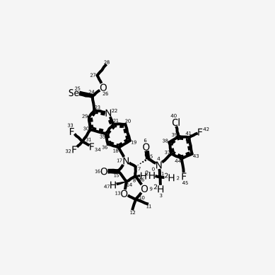 [2H]C([2H])([2H])N(C(=O)[C@@H]1[C@@H]2OC(C)(C)O[C@@H]2C(=O)N1c1ccc2nc(C(=[Se])OCC)cc(C(F)(F)F)c2c1)c1cc(Cl)c(F)cc1F